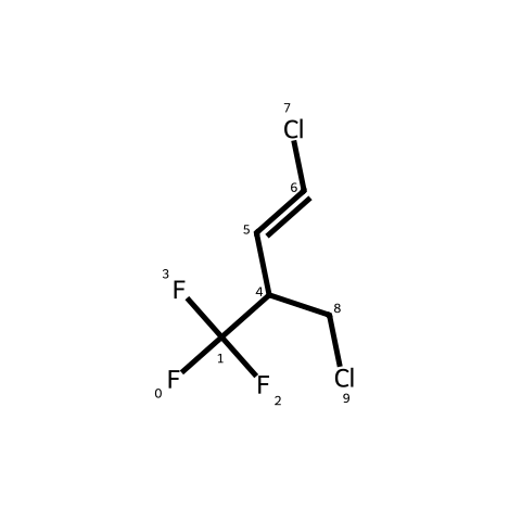 FC(F)(F)C(/C=C/Cl)CCl